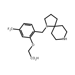 O=C(O)COc1cc(C(F)(F)F)ccc1CN1CCCC12CCNCC2